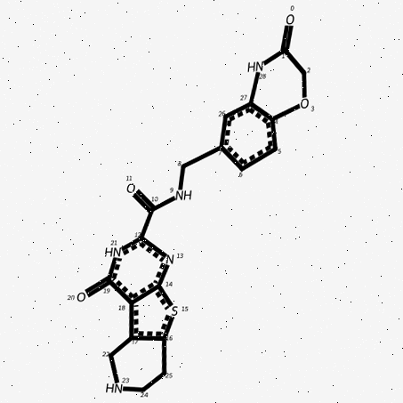 O=C1COc2ccc(CNC(=O)c3nc4sc5c(c4c(=O)[nH]3)CNCC5)cc2N1